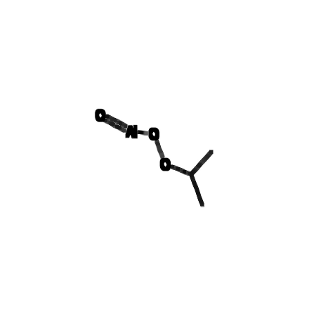 CC(C)O[O][Al]=[O]